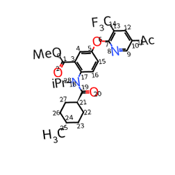 COC(=O)c1cc(Oc2ncc(C(C)=O)cc2C(F)(F)F)ccc1N(C(=O)[C@H]1CC[C@H](C)CC1)C(C)C